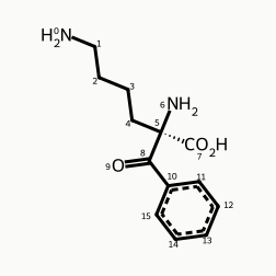 NCCCC[C@](N)(C(=O)O)C(=O)c1ccccc1